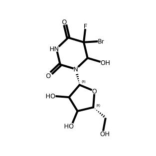 O=C1NC(=O)C(F)(Br)C(O)N1[C@@H]1O[C@H](CO)C(O)C1O